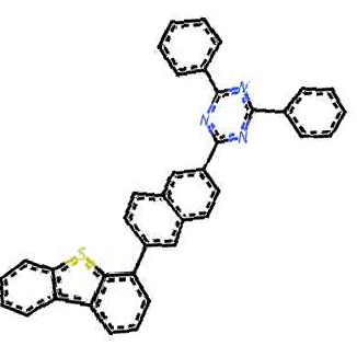 c1ccc(-c2nc(-c3ccccc3)nc(-c3ccc4cc(-c5cccc6c5sc5ccccc56)ccc4c3)n2)cc1